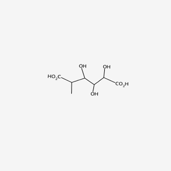 CC(C(=O)O)C(O)C(O)C(O)C(=O)O